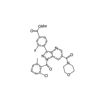 COC(=O)c1ccc(-c2nn(C(=O)c3c(C)cccc3Cl)c3cc(C(=O)N4CCOCC4)cnc23)c(F)c1